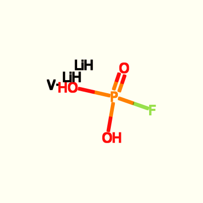 O=P(O)(O)F.[LiH].[LiH].[V]